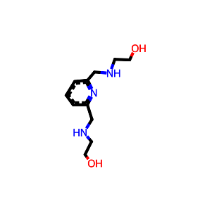 OCCNCc1cccc(CNCCO)n1